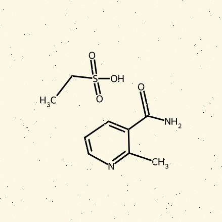 CCS(=O)(=O)O.Cc1ncccc1C(N)=O